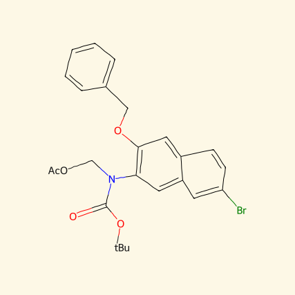 CC(=O)OCN(C(=O)OC(C)(C)C)c1cc2cc(Br)ccc2cc1OCc1ccccc1